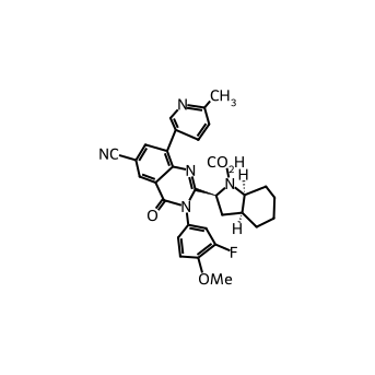 COc1ccc(-n2c([C@@H]3C[C@@H]4CCCC[C@@H]4N3C(=O)O)nc3c(-c4ccc(C)nc4)cc(C#N)cc3c2=O)cc1F